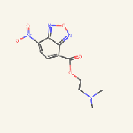 CN(C)CCOC(=O)c1ccc([N+](=O)[O-])c2nonc12